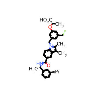 Cc1c(C)n(Cc2cc(CF)cc(O[C@@H](C)C(=O)O)c2)c2ccc(C(=O)N[C@@H](C)c3cccc(C(C)C)c3)cc12